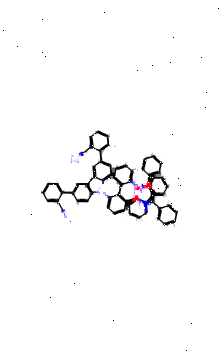 N#Cc1ccccc1-c1ccc2c(c1)c1cc(-c3ccccc3C#N)ccc1n2-c1cccc(-c2nc(-c3ccccc3)cc(-c3ccccc3)n2)c1-c1ccccc1-n1c2ccccc2c2ccccc21